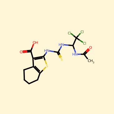 CC(=O)NC(NC(=S)Nc1sc2c(c1C(=O)O)CCCC2)C(Cl)(Cl)Cl